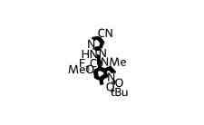 CNC(c1nc2cc(C#N)cnc2[nH]1)(c1c(OC)cc(C)c2c1ccn2C(=O)OC(C)(C)C)C(F)(F)F